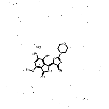 CCCc1cc(OCC)c2c(c1CCC)C(=C1SC(N3CCOCC3)=NC1=N)NC2=N.Cl